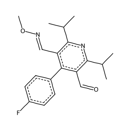 CON=Cc1c(C(C)C)nc(C(C)C)c(C=O)c1-c1ccc(F)cc1